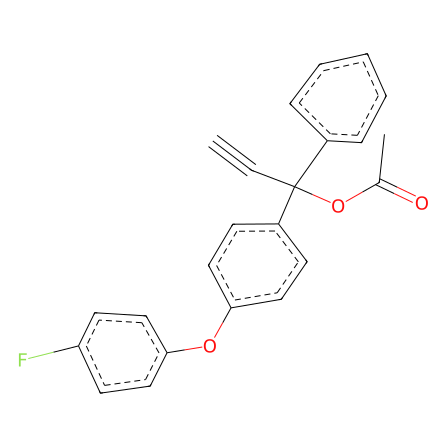 C#CC(OC(C)=O)(c1ccccc1)c1ccc(Oc2ccc(F)cc2)cc1